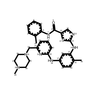 Cc1ccccc1NC(=O)c1cnc(Nc2cc(Nc3cccc(CN4CCN(C)CC4)n3)ccc2C)s1